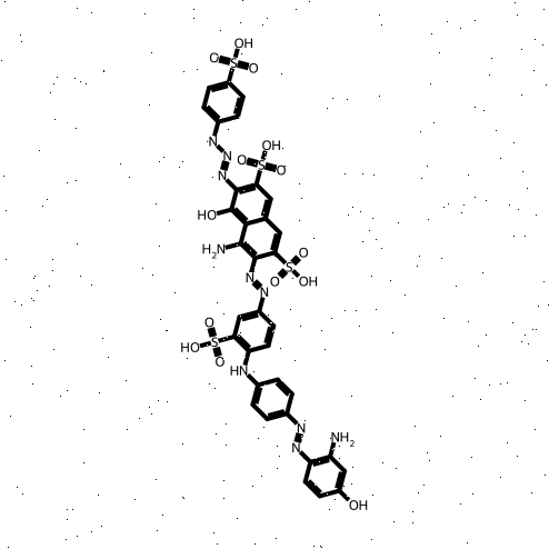 Nc1cc(O)ccc1N=Nc1ccc(Nc2ccc(N=Nc3c(S(=O)(=O)O)cc4cc(S(=O)(=O)O)c(N=N[N]c5ccc(S(=O)(=O)O)cc5)c(O)c4c3N)cc2S(=O)(=O)O)cc1